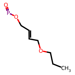 CCCOCC=CCOP=O